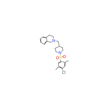 Cc1cc(S(=O)(=O)N2CCC(CN3CCc4ccccc4C3)CC2)c(C)cc1Cl